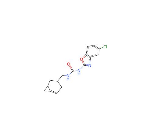 O=C(NCC1CC=C2CC2C1)Nc1nc2cc(Cl)ccc2o1